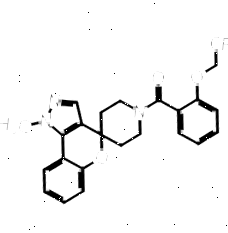 Cn1ncc2c1-c1ccccc1OC21CCN(C(=O)c2ccccc2OCC(F)(F)F)CC1